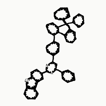 c1ccc(-c2cc(-c3ccc(-c4cccc5c4-c4ccccc4C5(c4ccccc4)c4ccccc4)cc3)nc(-c3ccc4oc5ccccc5c4c3)n2)cc1